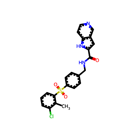 Cc1c(Cl)cccc1S(=O)(=O)c1ccc(CNC(=O)c2cc3cnccc3[nH]2)cc1